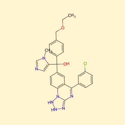 CCOCc1ccc(C(O)(c2ccc3c(c2)C(c2cccc(Cl)c2)=NC2=NNNN23)c2cncn2C)cc1